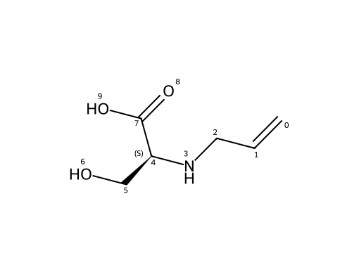 C=CCN[C@@H](CO)C(=O)O